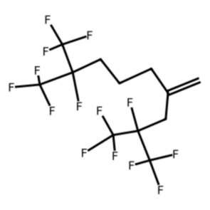 C=C(CCCC(F)(C(F)(F)F)C(F)(F)F)CC(F)(C(F)(F)F)C(F)(F)F